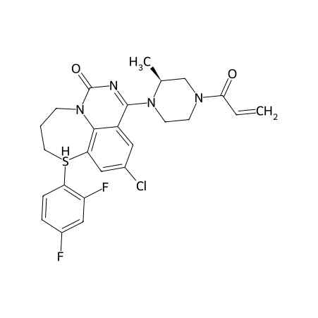 C=CC(=O)N1CCN(c2nc(=O)n3c4c(cc(Cl)cc24)[SH](c2ccc(F)cc2F)CCC3)[C@@H](C)C1